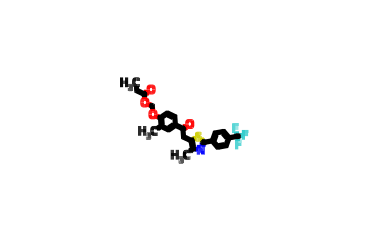 CCC(=O)OCOc1ccc(C(=O)Cc2sc(-c3ccc(C(F)(F)F)cc3)nc2C)cc1C